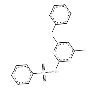 O=S(=O)(Nc1nc(Cl)cc(Oc2ccccc2)n1)c1ccccc1